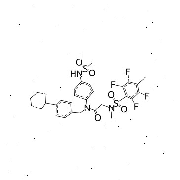 Cc1c(F)c(F)c(S(=O)(=O)N(C)CC(=O)N(Cc2ccc(C3CCCCC3)cc2)c2ccc(NS(C)(=O)=O)cc2)c(F)c1F